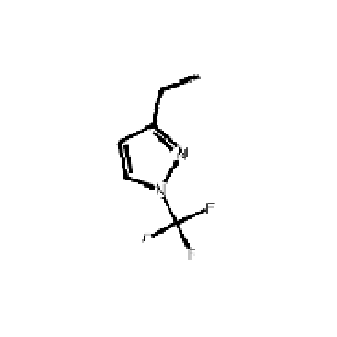 CCc1ccn(C(F)(F)F)n1